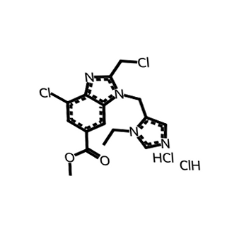 CCn1cncc1Cn1c(CCl)nc2c(Cl)cc(C(=O)OC)cc21.Cl.Cl